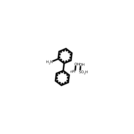 CCCO.Nc1ccccc1-c1ccccc1.O=S(=O)(O)O